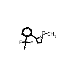 CON1CCC1c1ccccc1C(F)(F)F